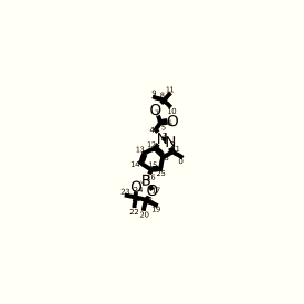 Cc1nn(CC(=O)OC(C)(C)C)c2ccc(B3OC(C)(C)C(C)(C)O3)cc12